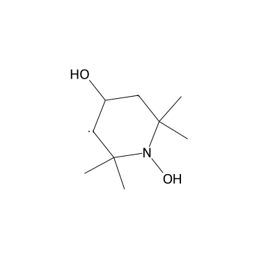 CC1(C)[CH]C(O)CC(C)(C)N1O